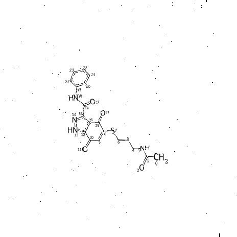 CC(=O)NCCCSC1=CC(=O)c2[nH]nc(C(=O)Nc3ccccc3)c2C1=O